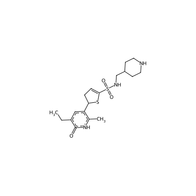 CCc1cc(C2CC=C(S(=O)(=O)NCC3CCNCC3)S2)c(C)[nH]c1=O